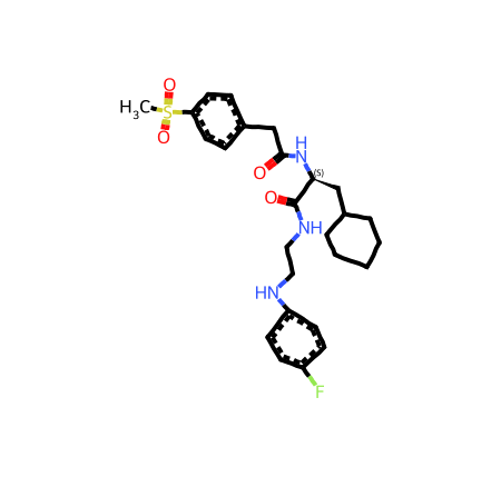 CS(=O)(=O)c1ccc(CC(=O)N[C@@H](CC2CCCCC2)C(=O)NCCNc2ccc(F)cc2)cc1